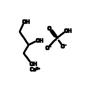 O=P([O-])([O-])O.OCC(O)CO.[Ca+2]